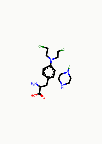 FN1CCNCC1.NC(Cc1ccc(N(CCCl)CCCl)cc1)C(=O)O